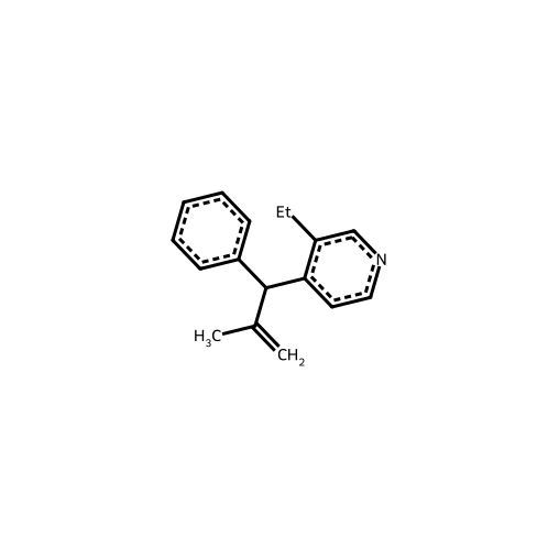 C=C(C)C(c1ccccc1)c1ccncc1CC